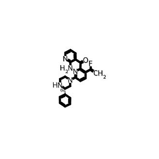 C=C(F)c1ccc(N2CCN[C@@H](c3ccccc3)C2)nc1C(=O)c1cccnc1N